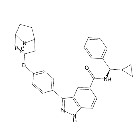 CN1C2CCC1CC(Oc1ccc(-c3n[nH]c4ccc(C(=O)N[C@@H](c5ccccc5)C5CC5)cc34)cc1)C2